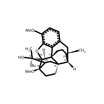 COc1ccc2c3c1O[C@H]1[C@@]4(OC)CC[C@@]5(C[C@@H]4[C@](C)(O)C(C)(C)C)[C@@H](C2)[C@H](C)CC[C@]315